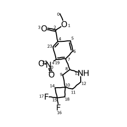 COC(=O)c1ccc(C2CC3(CCN2)CC(F)(F)C3)c([N+](=O)[O-])c1